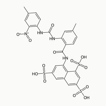 Cc1ccc(C(=O)Nc2cc(S(=O)(=O)O)cc3cc(S(=O)(=O)O)cc(S(=O)(=O)O)c23)c(NC(=O)Nc2ccc(C)cc2[N+](=O)[O-])c1